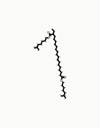 CCC(CCCCCCCCCCCCCCCCC(=O)OCCCCCC(C)C)C(=O)OCCCCCC(C)C